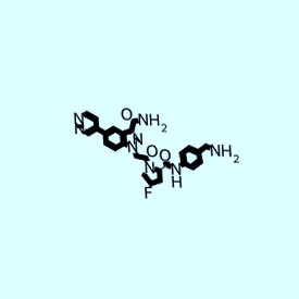 NCc1ccc(NC(=O)[C@@H]2C[C@@H](F)CN2C(=O)Cn2nc(C(N)=O)c3cc(-c4ccnnc4)ccc32)cc1